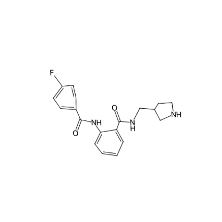 O=C(Nc1ccccc1C(=O)NCC1CCNC1)c1ccc(F)cc1